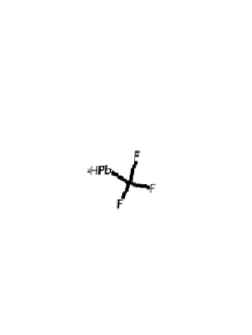 F[C](F)(F)[PbH]